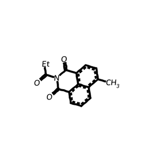 CCC(=O)N1C(=O)c2cccc3c(C)ccc(c23)C1=O